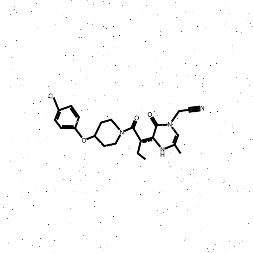 CC/C(C(=O)N1CCC(Oc2ccc(Cl)cc2)CC1)=C1\NC(C)=CN(CC#N)C1=O